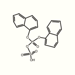 O=P(Oc1cccc2ccccc12)(Oc1cccc2ccccc12)O[Se](=O)(=O)O